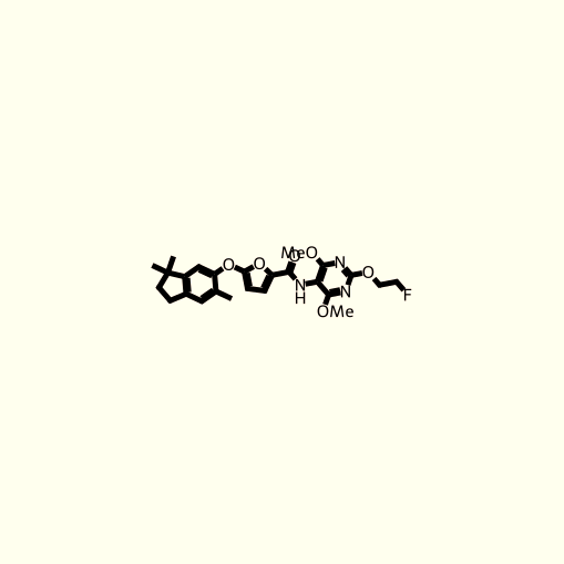 COc1nc(OCCF)nc(OC)c1NC(=O)c1ccc(Oc2cc3c(cc2C)CCC3(C)C)o1